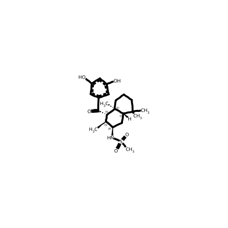 C[C@@H]1[C@H](NS(C)(=O)=O)C[C@H]2C(C)(C)CCC[C@]2(C)[C@H]1C(=O)c1cc(O)cc(O)c1